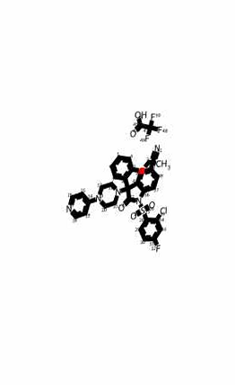 CCOc1ccccc1C1(N2CCN(c3ccncc3)CC2)C(=O)N(S(=O)(=O)c2ccc(F)cc2Cl)c2ccc(C#N)cc21.O=C(O)C(F)(F)F